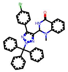 CN1c2ccccc2C(=O)NC1c1nn(C(c2ccccc2)(c2ccccc2)c2ccccc2)nc1-c1ccc(Br)cc1